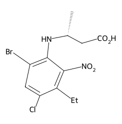 CCc1c(Cl)cc(Br)c(N[C@H](C)CC(=O)O)c1[N+](=O)[O-]